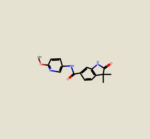 CCCOc1ccc(NC(=O)c2ccc3c(c2)NC(=O)C3(C)C)cn1